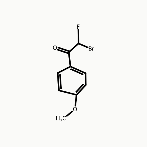 COc1ccc(C(=O)C(F)Br)cc1